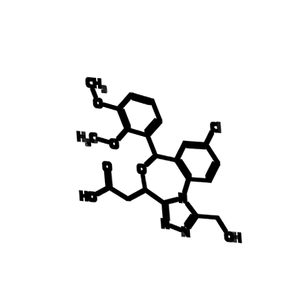 COc1cccc(C2OC(CC(=O)O)c3nnc(CO)n3-c3ccc(Cl)cc32)c1OC